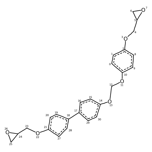 c1cc(OCC2CO2)ccc1OCOc1ccc(-c2ccc(OCC3CO3)cc2)cc1